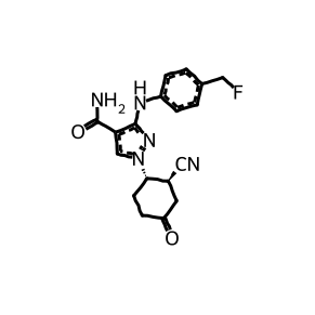 N#C[C@H]1CC(=O)CC[C@@H]1n1cc(C(N)=O)c(Nc2ccc(CF)cc2)n1